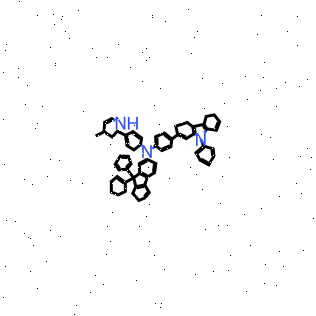 CC1C=CNC(C2=CCC(N(c3ccc(C4=Cc5c(c6c(n5-c5ccccc5)C=CCC6)CC4)cc3)c3ccc4c(c3)C(C3=CCCCC3)(c3ccccc3)C3=C4C=CCC3)C=C2)C1